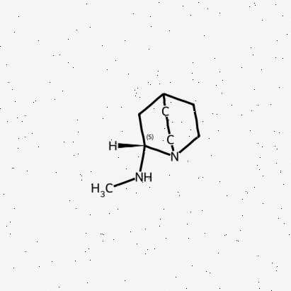 CN[C@@H]1CC2CCN1CC2